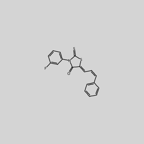 O=C1/C(=C/C=C\c2ccccc2)SC(=S)N1c1cccc(F)c1